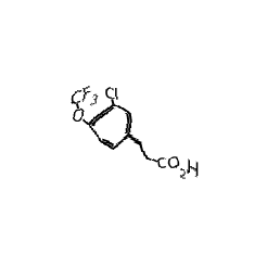 O=C(O)CCc1ccc(OC(F)(F)F)c(Cl)c1